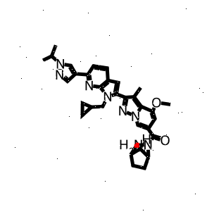 COc1cc(C(=O)N2CC3CCC2[C@@H]3N)cn2nc(-c3cc4ccc(-c5cnn(C(C)C)c5)nc4n3CC3CC3)c(C)c12